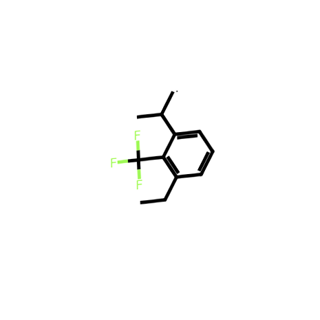 [CH2]C(C)c1cccc(CC)c1C(F)(F)F